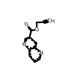 C#CCOC(=O)c1cnc2cccnc2c1